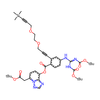 CC(C)(C)OC(=O)Cc1ccc(OC(=O)c2ccc(N/C(=N/C(=O)OC(C)(C)C)NC(=O)OC(C)(C)C)cc2C#CCOCCOCC#C[Si](C)(C)C)c2ncnn12